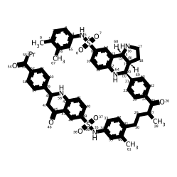 Cc1ccc(NS(=O)(=O)c2ccc3c(c2)[C@H]2NCC[C@H]2[C@@H](c2ccc(C(=O)C(C)CCc4ccc(NS(=O)(=O)c5ccc6c(c5)C(=O)CC(c5ccc(C(=O)C(C)C)cc5)N6)cc4C)cc2)N3)cc1C